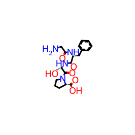 NCC(=O)N[C@@H](Cc1ccccc1)C(=O)N[C@@H](CO)C(=O)N1CCC[C@H]1C(=O)O